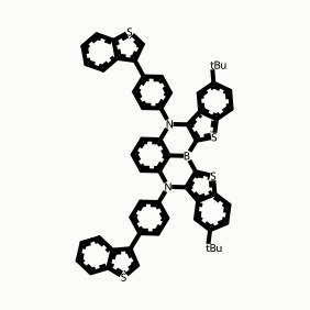 CC(C)(C)c1ccc2sc3c(c2c1)N(c1ccc(-c2csc4ccccc24)cc1)c1cccc2c1B3c1sc3ccc(C(C)(C)C)cc3c1N2c1ccc(-c2csc3ccccc23)cc1